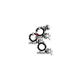 CCCCCCCCC[N+](C)(C)C1CCCCCCCCCCC1.CCCCCCCCC[N+](C)(C)C1CCCCCCCCCCC1.CCCCCCCCC[N+](C)(C)C1CCCCCCCCCCC1.O=P([O-])([O-])[O-]